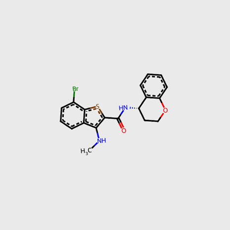 CNc1c(C(=O)N[C@H]2CCOc3ccccc32)sc2c(Br)cccc12